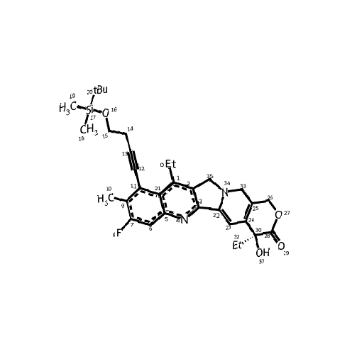 CCc1c2c(nc3cc(F)c(C)c(C#CCCO[Si](C)(C)C(C)(C)C)c13)C1=CC3=C(COC(=O)[C@]3(O)CC)CN1C2